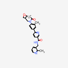 CC(=O)N(CC1COC1)c1ccc(-c2ccc(C(=O)NCc3cccnc3C)cn2)cc1C